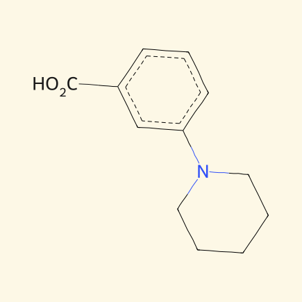 O=C(O)c1cccc(N2CCCCC2)c1